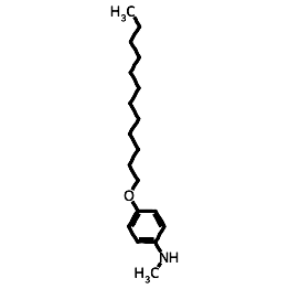 CCCCCCCCCCCCOc1ccc(NC)cc1